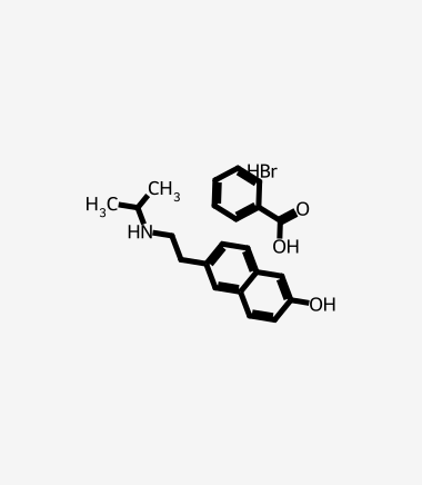 Br.CC(C)NCCc1ccc2cc(O)ccc2c1.O=C(O)c1ccccc1